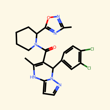 CC1=C(C(=O)N2CCCCC2c2nc(C)no2)C(c2ccc(Cl)c(Cl)c2)n2nccc2N1